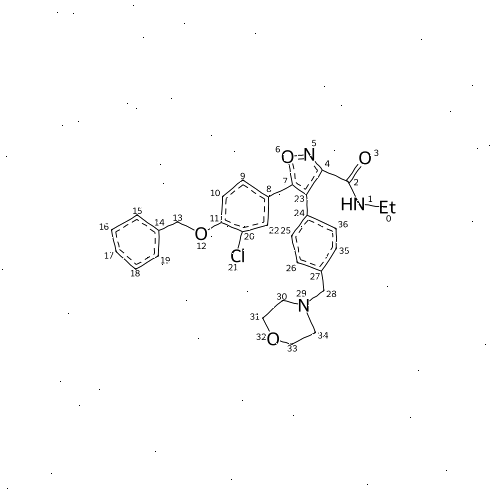 CCNC(=O)c1noc(-c2ccc(OCc3ccccc3)c(Cl)c2)c1-c1ccc(CN2CCOCC2)cc1